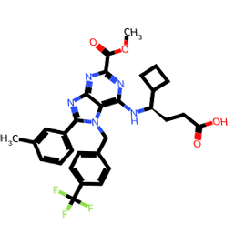 COC(=O)c1nc(N[C@H](CCC(=O)O)C2CCC2)c2c(n1)nc(-c1cccc(C)c1)n2Cc1ccc(C(F)(F)F)cc1